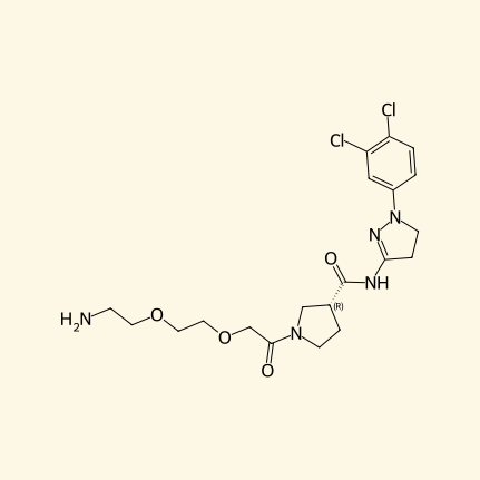 NCCOCCOCC(=O)N1CC[C@@H](C(=O)NC2=NN(c3ccc(Cl)c(Cl)c3)CC2)C1